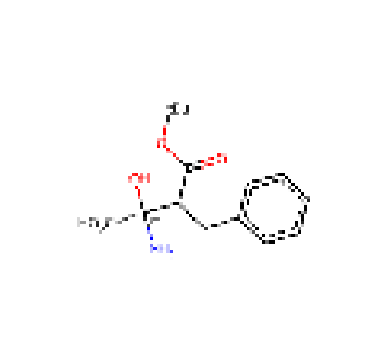 CC(C)(C)OC(=O)C(Cc1ccccc1)[C@@](N)(O)C(=O)O